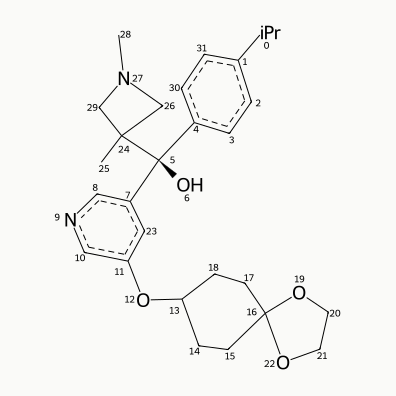 CC(C)c1ccc([C@](O)(c2cncc(OC3CCC4(CC3)OCCO4)c2)C2(C)CN(C)C2)cc1